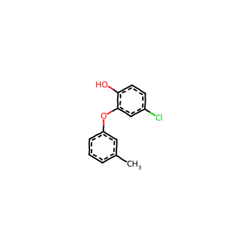 Cc1cccc(Oc2cc(Cl)ccc2O)c1